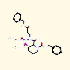 COC(=O)[C@@H]1CCCN(C(=O)OCc2ccccc2)C1C(=O)N(CCC(=O)OCc1ccccc1)NC(=O)OC(C)(C)C